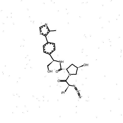 Cc1ncsc1-c1ccc([C@H](CO)NC(=O)[C@@H]2C[C@@H](O)CN2C(=O)[C@@H](N=[N+]=[N-])C(C)C)cc1